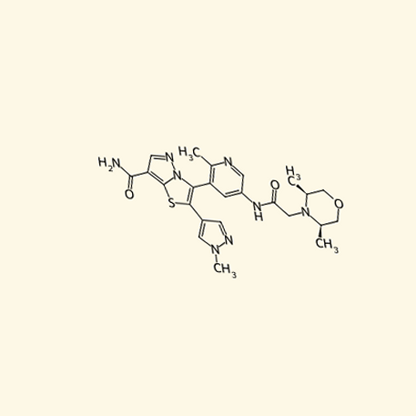 Cc1ncc(NC(=O)CN2[C@H](C)COC[C@@H]2C)cc1-c1c(-c2cnn(C)c2)sc2c(C(N)=O)cnn12